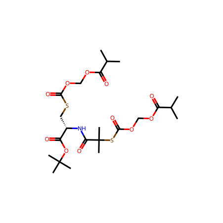 CC(C)C(=O)OCOC(=O)SC[C@H](NC(=O)C(C)(C)SC(=O)OCOC(=O)C(C)C)C(=O)OC(C)(C)C